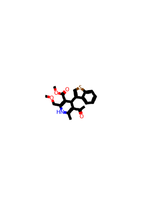 COCC1=C(C(=O)OC)C(c2csc3ccccc23)C(C(C)=O)=C(C)N1